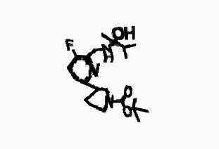 CC(C)[C@@](C)(O)NCc1nc(C2CCCN(C(=O)OC(C)(C)C)C2)ccc1F